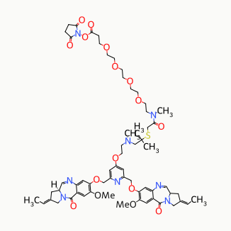 C/C=C1\CC2C=Nc3cc(OCc4cc(OCCN(C)CC(C)(C)SCC(=O)N(C)CCOCCOCCOCCOCCC(=O)ON5C(=O)CCC5=O)cc(COc5cc6c(cc5OC)C(=O)N5C/C(=C/C)C[C@H]5C=N6)n4)c(OC)cc3C(=O)N2C1